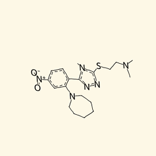 CN(C)CCSc1nnc(-c2ccc([N+](=O)[O-])cc2N2CCCCCC2)n1C